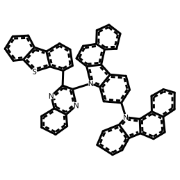 c1ccc2c(c1)ccc1c2c2ccc(-n3c4ccccc4c4ccc5ccccc5c43)cc2n1-c1nc2ccccc2nc1-c1cccc2c1sc1ccccc12